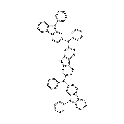 c1ccc(N(c2cnc3c(c2)oc2cc(N(c4ccccc4)c4ccc5c6ccccc6n(-c6ccccc6)c5c4)ncc23)c2ccc3c4ccccc4n(-c4ccccc4)c3c2)cc1